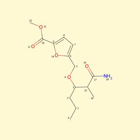 [CH2]CCC(OCc1ccc(C(=O)OC)o1)C(C)C(N)=O